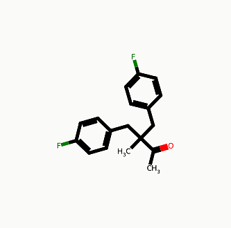 CC(=O)C(C)(Cc1ccc(F)cc1)Cc1ccc(F)cc1